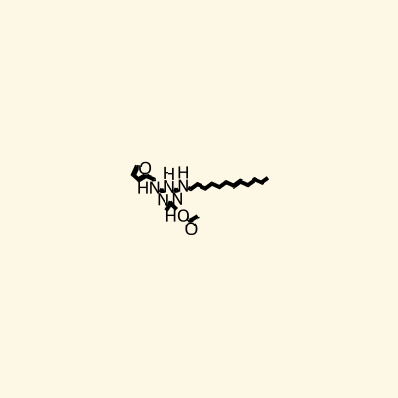 CC(=O)O.CCCCCCCCCCCCNC1=NC(C)(C)N=C(NCc2ccco2)N1